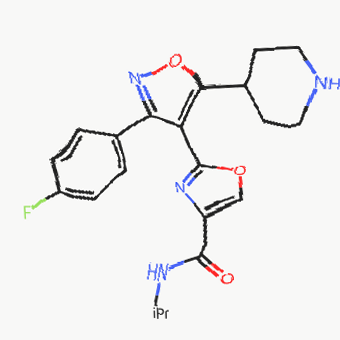 CC(C)NC(=O)c1coc(-c2c(-c3ccc(F)cc3)noc2C2CCNCC2)n1